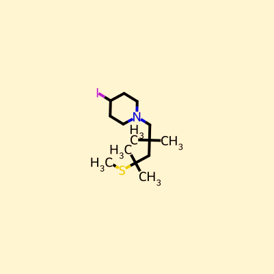 CSC(C)(C)CC(C)(C)CN1CCC(I)CC1